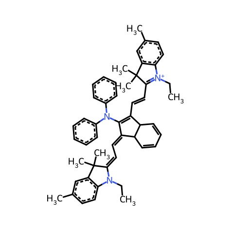 CCN1/C(=C/C=C2C(N(c3ccccc3)c3ccccc3)=C(/C=C/C3=[N+](CC)c4ccc(C)cc4C3(C)C)C3C=CC=CC/23)C(C)(C)c2cc(C)ccc21